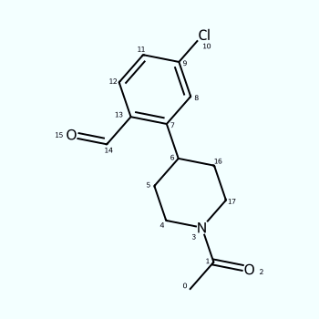 CC(=O)N1CCC(c2cc(Cl)ccc2C=O)CC1